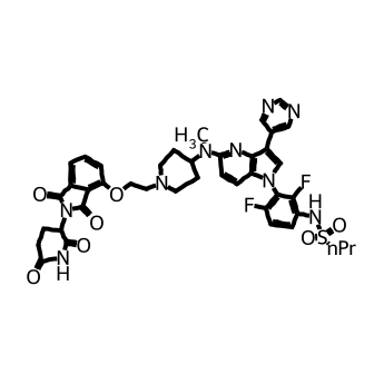 CCCS(=O)(=O)Nc1ccc(F)c(-n2cc(-c3cncnc3)c3nc(N(C)C4CCN(CCOc5cccc6c5C(=O)N(C5CCC(=O)NC5=O)C6=O)CC4)ccc32)c1F